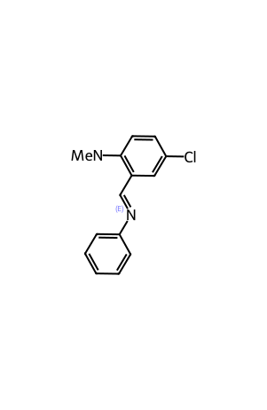 CNc1ccc(Cl)cc1/C=N/c1ccccc1